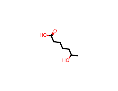 CC(O)CCCCC(=O)O